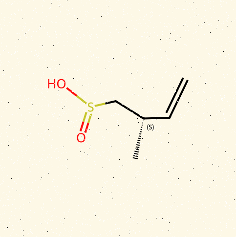 C=C[C@H](C)CS(=O)O